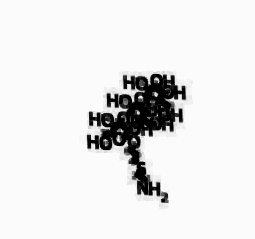 NCCSCCCO[C@@H]1OC(CO)[C@@H](O)[C@H](O[C@@H]2OC(CO)[C@@H](O)[C@H](O[C@@H]3OC(CO)[C@@H](O)[C@H](O)C3O)C2O)C1O